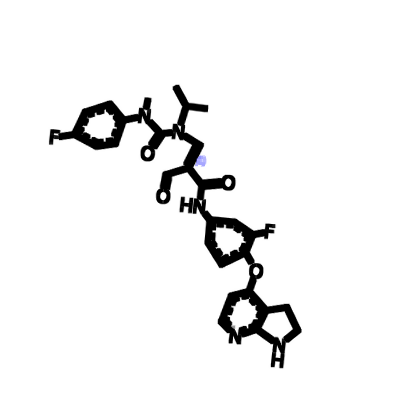 CC(C)N(/C=C(\C=O)C(=O)Nc1ccc(Oc2ccnc3c2CCN3)c(F)c1)C(=O)N(C)c1ccc(F)cc1